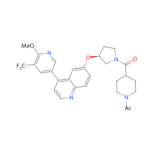 COc1ncc(-c2ccnc3ccc(O[C@H]4CCN(C(=O)C5CCN(C(C)=O)CC5)C4)cc23)cc1C(F)(F)F